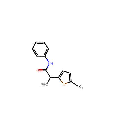 COC(C(=O)Nc1ccccc1)c1ccc([N+](=O)[O-])s1